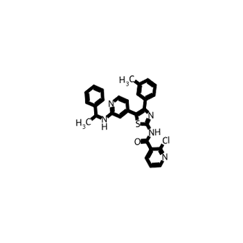 Cc1cccc(-c2nc(NC(=O)c3cccnc3Cl)sc2-c2ccnc(NC(C)c3ccccc3)c2)c1